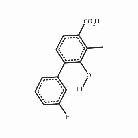 CCOc1c(-c2cccc(F)c2)ccc(C(=O)O)c1C